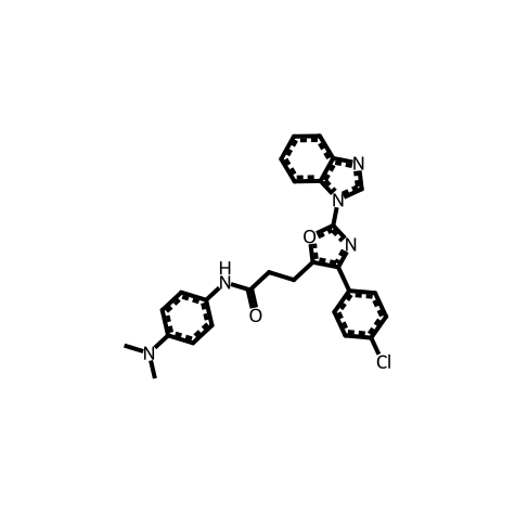 CN(C)c1ccc(NC(=O)CCc2oc(-n3cnc4ccccc43)nc2-c2ccc(Cl)cc2)cc1